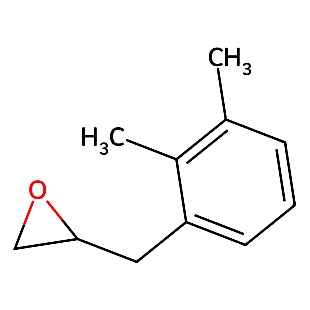 Cc1cccc(CC2CO2)c1C